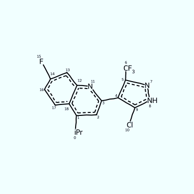 CC(C)c1cc(-c2c(C(F)(F)F)n[nH]c2Cl)nc2cc(F)ccc12